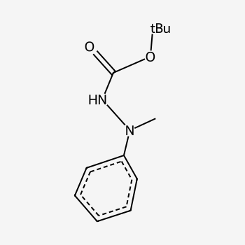 CN(NC(=O)OC(C)(C)C)c1ccccc1